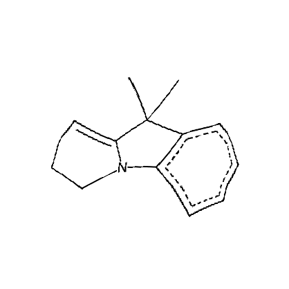 CC1(C)C2=CCCN2c2ccccc21